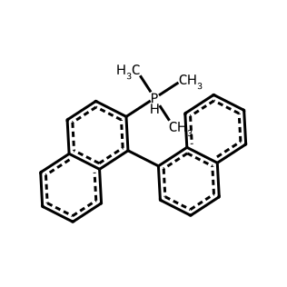 C[PH](C)(C)c1ccc2ccccc2c1-c1cccc2ccccc12